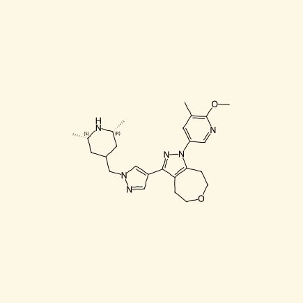 COc1ncc(-n2nc(-c3cnn(CC4C[C@@H](C)N[C@@H](C)C4)c3)c3c2CCOCC3)cc1C